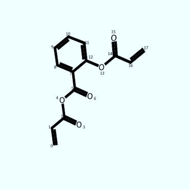 C=CC(=O)OC(=O)c1ccccc1OC(=O)C=C